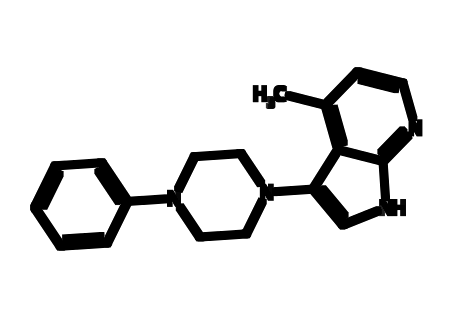 Cc1ccnc2[nH]cc(N3CCN(c4ccccc4)CC3)c12